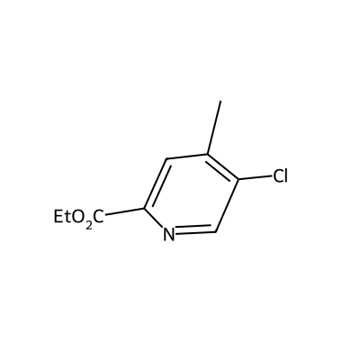 CCOC(=O)c1cc(C)c(Cl)cn1